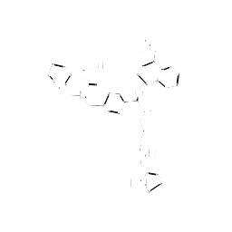 CC(C)(C)OC(=O)N(Cc1ccc(C(=O)[C@H](CCCNCc2ccc[nH]2)C(=O)O)cc1)Cc1ccccn1.NCc1cccc2ccccc12